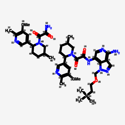 COc1cc(C2CCC(C)CN2C(=O)C(=O)Nc2cnc(N)c3cnn(COCC[Si](C)(C)C)c23)cnc1C.COc1cc(C2CCC(C)CN2C(=O)C(N)=O)cnc1C